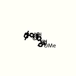 COC(=O)c1ccccc1Nc1ccc(S(=O)(=O)Nc2ccc(C34CC5CC(C)(CC(C)(C5)C3)C4)cc2Cl)cc1